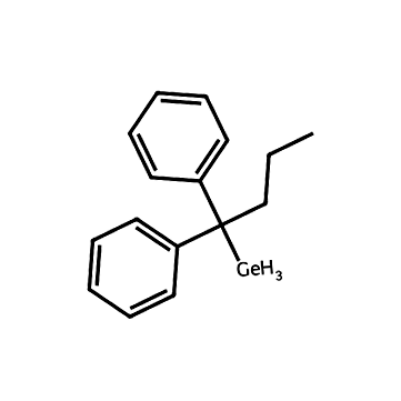 CCC[C]([GeH3])(c1ccccc1)c1ccccc1